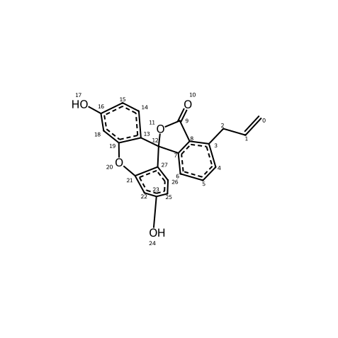 C=CCc1cccc2c1C(=O)OC21c2ccc(O)cc2Oc2cc(O)ccc21